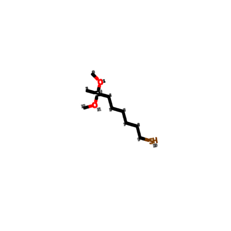 CO[Si](C)(CCCCCCS)OC